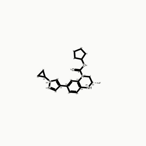 C[C@H]1CN(C(=O)OC2CCCC2)c2cc(-c3cnn(C4CC4)c3)ccc2N1